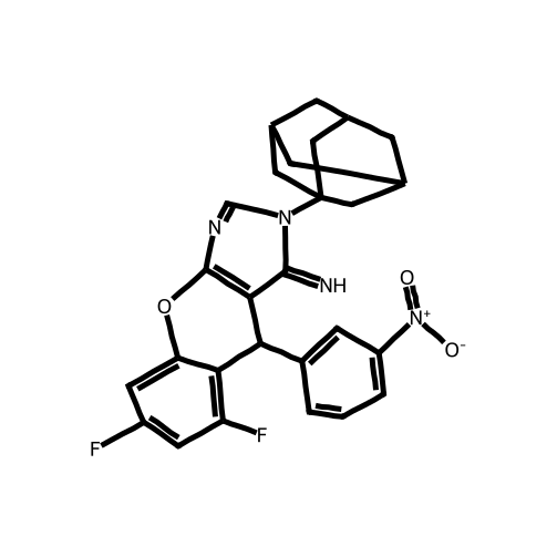 N=c1c2c(ncn1C13CC4CC(CC(C4)C1)C3)Oc1cc(F)cc(F)c1C2c1cccc([N+](=O)[O-])c1